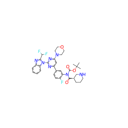 CC(C)(C)OC(=O)N(C(=O)[C@@H]1CCCNC1)c1cc(-c2cc(N3CCOCC3)nc(-n3c(C(F)F)nc4ccccc43)n2)ccc1F